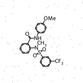 COc1ccc(NC(=O)c2ccccc2N(C)S(=O)(=O)c2cccc(C(F)(F)F)c2)cc1